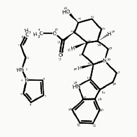 C=CCNn1cccc1.COC(=O)[C@@H]1[C@H]2C[C@H]3c4[nH]c5ccccc5c4CCN3C[C@@H]2CC[C@@H]1O